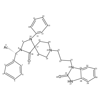 CC(=O)[C@@H](c1ccccc1)N1CN(c2ccccc2)C2(CCN(CCCn3c(=O)[nH]c4ccccc43)CC2)C1=O